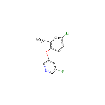 O=C(O)c1cc(Cl)ccc1Oc1cncc(F)c1